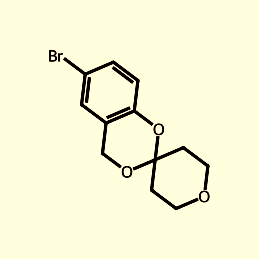 Brc1ccc2c(c1)COC1(CCOCC1)O2